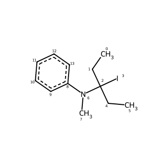 CCC(I)(CC)N(C)c1ccccc1